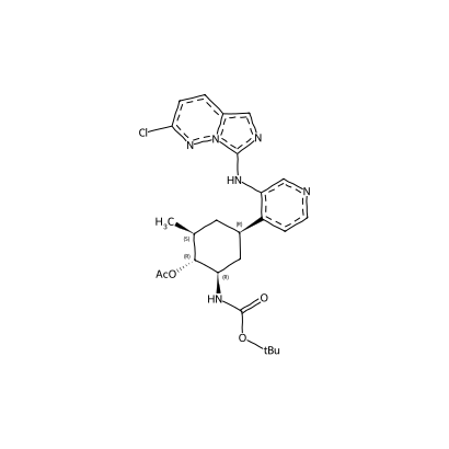 CC(=O)O[C@@H]1[C@@H](C)C[C@@H](c2ccncc2Nc2ncc3ccc(Cl)nn23)C[C@H]1NC(=O)OC(C)(C)C